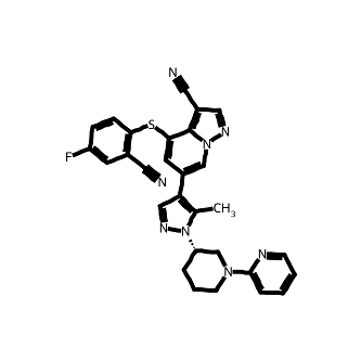 Cc1c(-c2cc(Sc3ccc(F)cc3C#N)c3c(C#N)cnn3c2)cnn1[C@H]1CCCN(c2ccccn2)C1